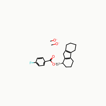 C[O-].C[O-].O=C([O][Ti+2][CH]1CCCC2=C1CC1=C2CCCC1)c1ccc(F)cc1